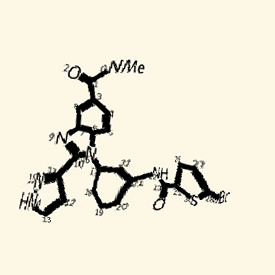 CNC(=O)c1ccc2c(c1)nc(-c1cc[nH]n1)n2C1CCCC(NC(=O)c2ccc(Br)s2)C1